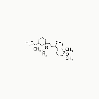 COC1(CCC(C)[C@@H]2CCC[C@@](C)(OC)C2)CCCC(C(C)C)C1